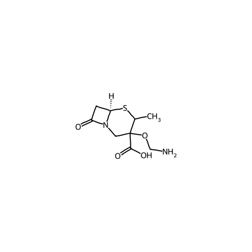 CC1S[C@@H]2CC(=O)N2CC1(OCN)C(=O)O